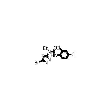 CCN(C(=O)Nc1ccc(Cl)cc1Cl)c1nnc(Br)s1